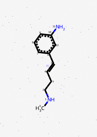 CNCC/C=C/c1cccc(N)c1